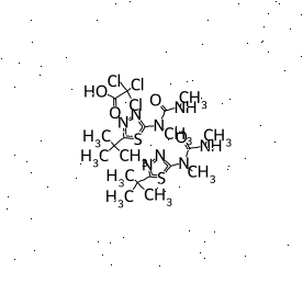 CNC(=O)N(C)c1nnc(C(C)(C)C)s1.CNC(=O)N(C)c1nnc(C(C)(C)C)s1.O=C(O)C(Cl)(Cl)Cl